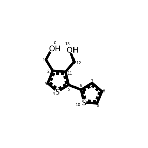 OCc1csc(-c2cccs2)c1CO